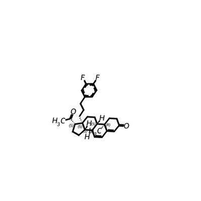 CC(=O)[C@H]1CC[C@H]2[C@@H]3C=CC4=CC(=O)CC[C@]4(C)[C@H]3CC[C@]12CCCc1ccc(F)c(F)c1